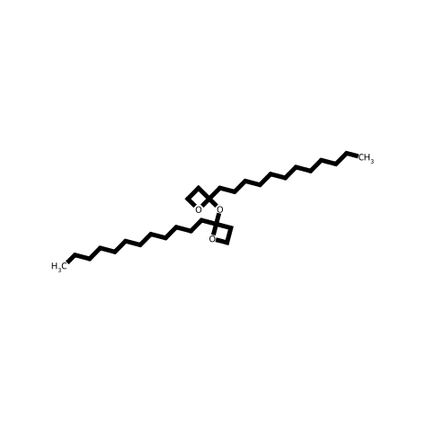 CCCCCCCCCCCCC1(OC2(CCCCCCCCCCCC)CCO2)CCO1